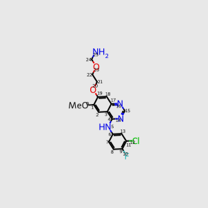 COc1cc2c(Nc3ccc(F)c(Cl)c3)ncnc2cc1OCCOCN